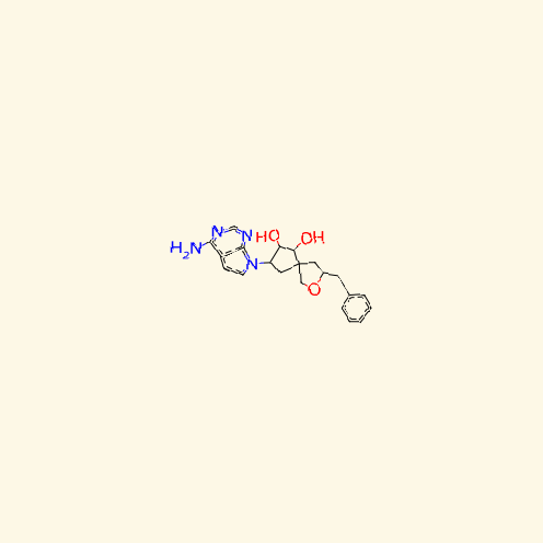 Nc1ncnc2c1ccn2C1CC2(COC(Cc3ccccc3)C2)C(O)C1O